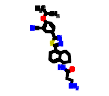 CC(C)Oc1ccc(-c2nnc(-c3cccc4c3CCC[C@@H]4NC(=O)CCN)s2)cc1C#N